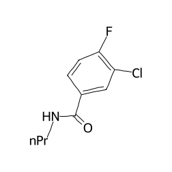 CCCNC(=O)c1ccc(F)c(Cl)c1